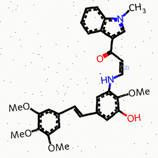 COc1cc(C=Cc2cc(O)c(OC)c(N/C=C\C(=O)c3cn(C)c4ccccc34)c2)cc(OC)c1OC